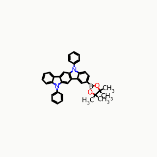 CC1(C)OB(c2ccc3c(c2)c2cc4c(cc2n3-c2ccccc2)c2ccccc2n4-c2ccccc2)OC1(C)C